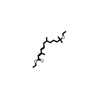 CCOC(=O)/C=C(C)/C=C/CC(C)CCCC(C)(C)OCC